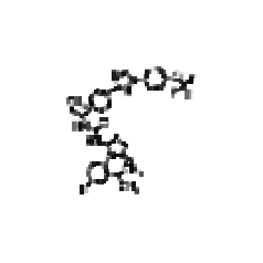 CCC(NC(=O)NC1SCC(=O)N1c1ccc(F)cc1C(C)C)c1ccc(-c2ncn(-c3ccc(OC(F)(F)F)cc3)n2)cc1